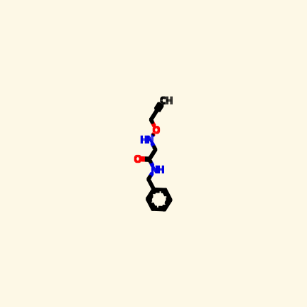 C#CCONCC(=O)NCc1ccccc1